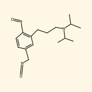 CC(C)N(CCCc1cc(CN=O)ccc1N=O)C(C)C